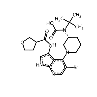 CC(C)(C)N(C(=O)O)[C@@H]1CCCN(c2c(Br)cnc3[nH]cc(NC(=O)C4CCOC4)c23)C1